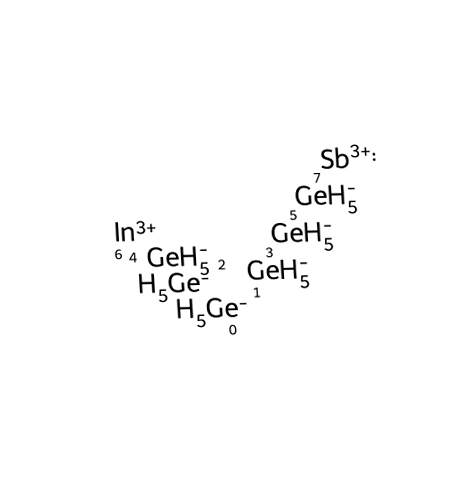 [GeH5-].[GeH5-].[GeH5-].[GeH5-].[GeH5-].[GeH5-].[In+3].[Sb+3]